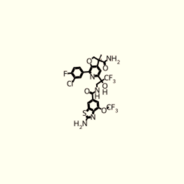 C[C@]1(C(N)=O)COc2c1cc(C(O)(CNC(=O)c1cc(OC(F)(F)F)c3nc(N)sc3c1)C(F)(F)F)nc2-c1ccc(F)c(Cl)c1